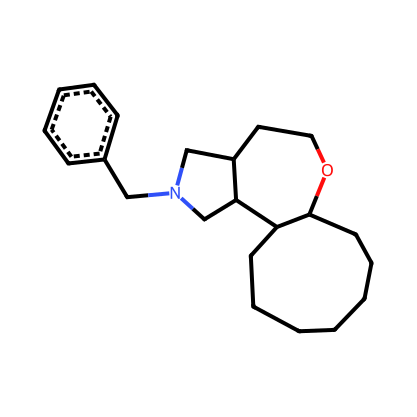 c1ccc(CN2CC3CCOC4CCCCCCCC4C3C2)cc1